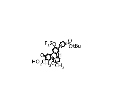 CC(C)(C)OC(=O)[C@H]1CCN(c2cc3c(cc2OC(F)(F)F)-c2cc(=O)c(C(=O)O)cn2N2[C@@H]3CCC2(C)C)C1